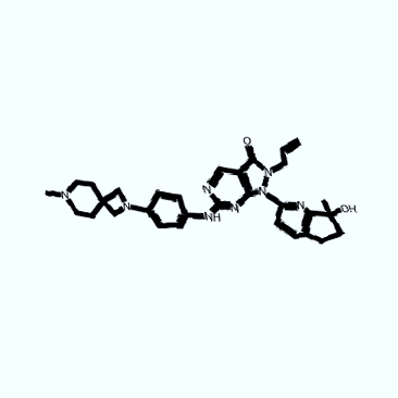 C=CCn1c(=O)c2cnc(Nc3ccc(N4CC5(CCN(C)CC5)C4)cc3)nc2n1-c1ccc2c(n1)C(C)(O)CC2